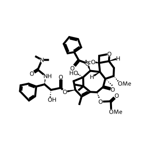 COC(=O)O[C@H]1C(=O)[C@]2(C)[C@@H](OC)C[C@H]3OC[C@@]3(OC(C)=O)[C@H]2[C@H](OC(=O)c2ccccc2)[C@]2(O)C[C@H](OC(=O)[C@H](O)[C@@H](NC(=O)N(C)C)c3ccccc3)C(C)=C1C2(C)C